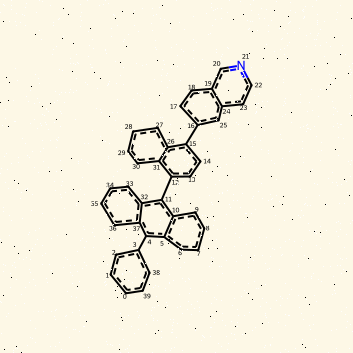 c1ccc(-c2c3ccccc3c(-c3ccc(-c4ccc5cnccc5c4)c4ccccc34)c3ccccc23)cc1